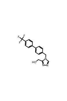 OCc1nncn1Cc1ccc(-c2ccc(C(F)(F)F)cc2)cc1